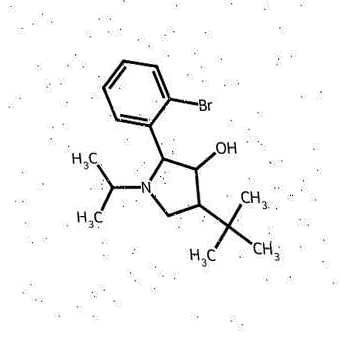 CC(C)N1CC(C(C)(C)C)C(O)C1c1ccccc1Br